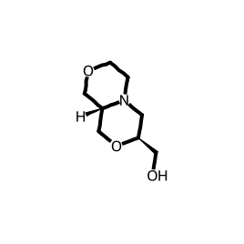 OC[C@@H]1CN2CCOC[C@H]2CO1